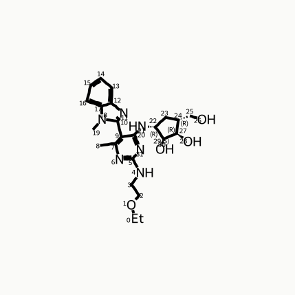 CCOCCNc1nc(C)c(-c2nc3ccccc3n2C)c(N[C@@H]2C[C@H](CO)[C@@H](O)[C@H]2O)n1